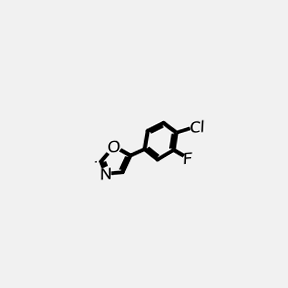 Fc1cc(-c2cn[c]o2)ccc1Cl